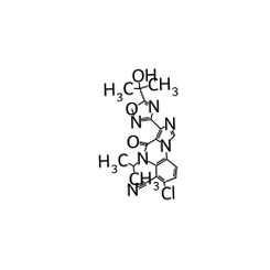 CC(C)n1c(=O)c2c(-c3noc(C(C)(C)O)n3)ncn2c2ccc(Cl)c(C#N)c21